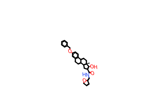 C[C@]12CCC3c4ccc(OCc5ccccc5)cc4CCC3C1CC(C(=O)NCC1CCCO1)[C@@H]2O